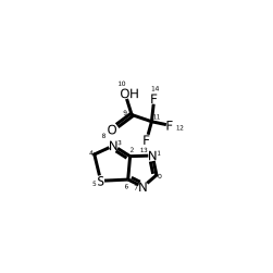 C1=NC2=NCSC2=N1.O=C(O)C(F)(F)F